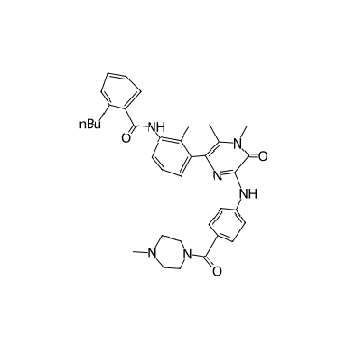 CCCCc1ccccc1C(=O)Nc1cccc(-c2nc(Nc3ccc(C(=O)N4CCN(C)CC4)cc3)c(=O)n(C)c2C)c1C